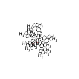 CC1=CC2=C3B(c4ccc5c(c4N2c2ccc(C(C)(C)C)cc2C2CC=C(C(C)(C)C)[C@H](C)C2)C(C)(C)CCC5(C)C)c2sc4ccc(C(C)(C)C)cc4c2N(c2ccc(C(C)(C)C)cc2)C3C1